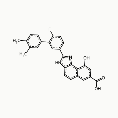 Cc1ccc(-c2cc(-c3nc4c(ccc5cc(C(=O)O)cc(O)c54)[nH]3)ccc2F)cc1C